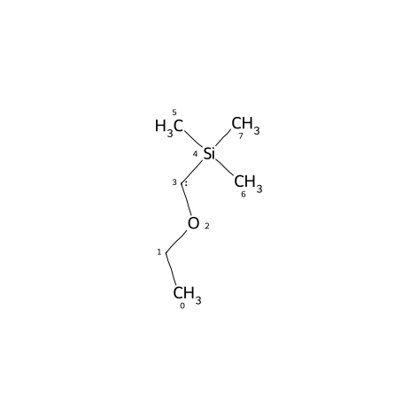 CCO[C][Si](C)(C)C